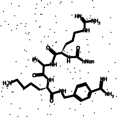 CCCCCCCCCC(=O)N[C@@H](CCCNC(=N)N)C(=O)NC(C(=O)N[C@@H](CCCCN)C(=O)NCc1ccc(C(=N)N)cc1)C(C)C